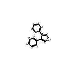 [c]1ccccc1-c1cscc1-c1ccccc1